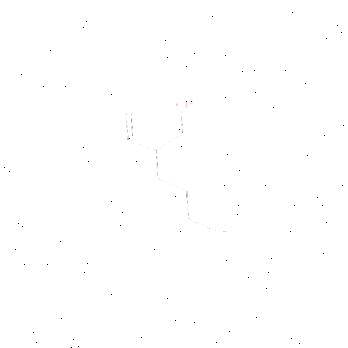 C=CC(CO)CCCC(F)(F)F